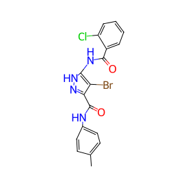 Cc1ccc(NC(=O)c2n[nH]c(NC(=O)c3ccccc3Cl)c2Br)cc1